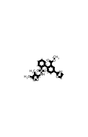 COC(=O)c1cc(-c2ncco2)ccc1-c1ccccc1S(=O)(=O)Nc1onc(C)c1C